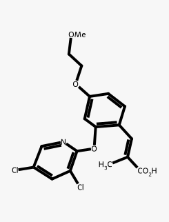 COCCOc1ccc(/C=C(\C)C(=O)O)c(Oc2ncc(Cl)cc2Cl)c1